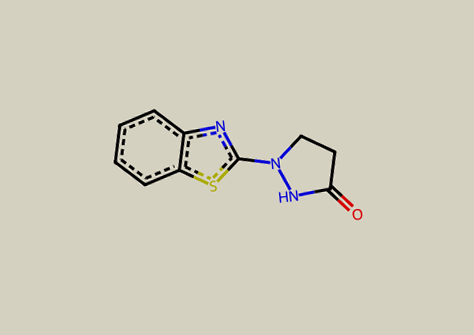 O=C1CCN(c2nc3ccccc3s2)N1